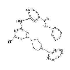 CCc1nc(Nc2cc(C(=O)Nc3ccccc3)ccn2)nc(N2CCN(c3ncccn3)CC2)n1